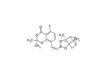 CC1(C)OC(=O)c2c(F)ccc(/C=C\B3OC45CC6CC(C64C)[C@]5(C)O3)c2O1